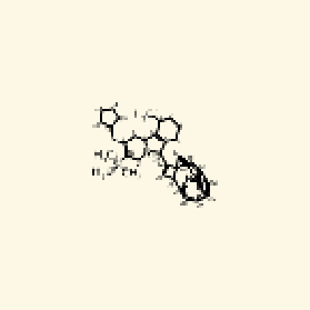 CC1CCCC2=C1C1CC(CC3CCCC3)C([Si](C)(C)C)CN1C2C1=CC2c3cc4cc(n3)c3cc4cc4c3C142